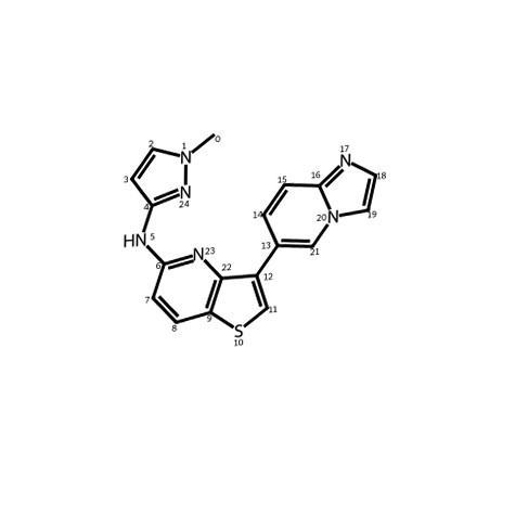 Cn1ccc(Nc2ccc3scc(-c4ccc5nccn5c4)c3n2)n1